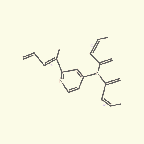 C=C/C=C(\C)c1cc(N(C(=C)/C=C\C)C(=C)/C=C\C)ccn1